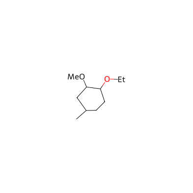 CCOC1CCC(C)CC1OC